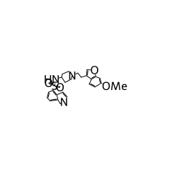 COc1ccc2c(CCN3CCC(NS(=O)(=O)c4cccc5cnccc45)CC3)coc2c1